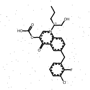 CCC[C@@H](CO)n1cc(OC(=O)O)c(=O)c2cc(Cc3cccc(Cl)c3F)ccc21